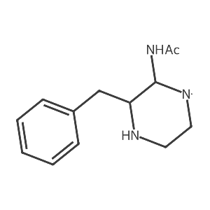 CC(=O)NC1[N]CCNC1Cc1ccccc1